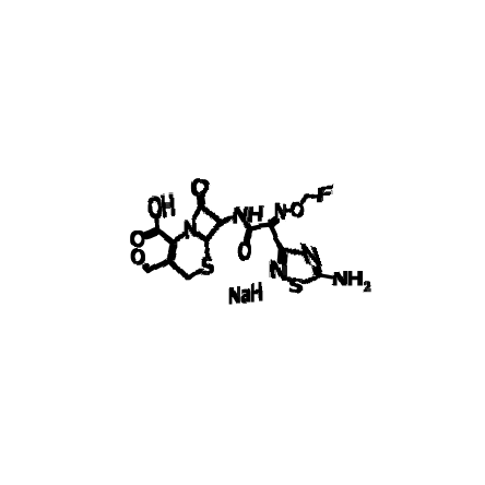 Nc1nc(C(=NOCF)C(=O)NC2C(=O)N3C(C(=O)O)=C(C=O)CSC23)ns1.[NaH]